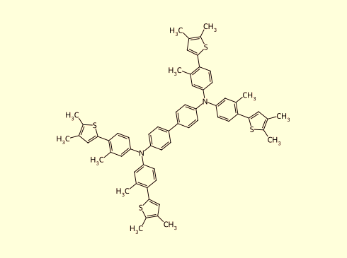 Cc1cc(N(c2ccc(-c3ccc(N(c4ccc(-c5cc(C)c(C)s5)c(C)c4)c4ccc(-c5cc(C)c(C)s5)c(C)c4)cc3)cc2)c2ccc(-c3cc(C)c(C)s3)c(C)c2)ccc1-c1cc(C)c(C)s1